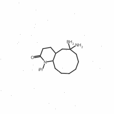 BC1(N)CCCCCCC2C(CCC(=O)N2C(C)C)C1